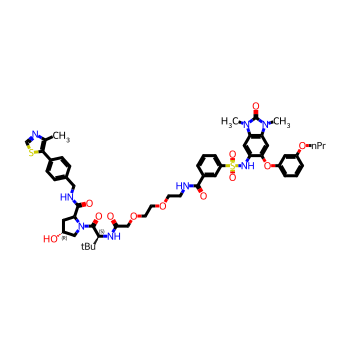 CCCOc1cccc(Oc2cc3c(cc2NS(=O)(=O)c2cccc(C(=O)NCCOCCOCC(=O)N[C@H](C(=O)N4C[C@H](O)CC4C(=O)NCc4ccc(-c5scnc5C)cc4)C(C)(C)C)c2)n(C)c(=O)n3C)c1